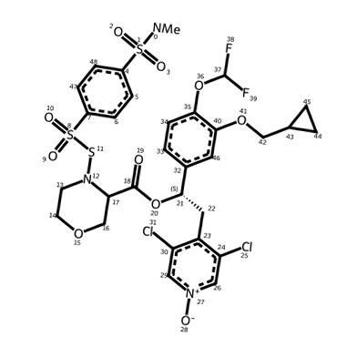 CNS(=O)(=O)c1ccc(S(=O)(=O)SN2CCOCC2C(=O)O[C@@H](Cc2c(Cl)c[n+]([O-])cc2Cl)c2ccc(OC(F)F)c(OCC3CC3)c2)cc1